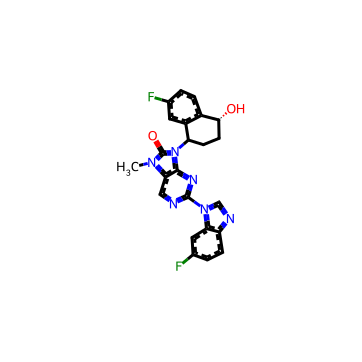 Cn1c(=O)n(C2CC[C@@H](O)c3ccc(F)cc32)c2nc(-n3cnc4ccc(F)cc43)ncc21